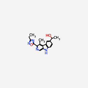 CCc1noc(-c2ncc3[nH]c4ccc(C(C)O)cc4c3c2C)n1